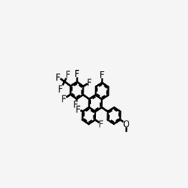 COc1ccc(-c2c3ccc(F)cc3c(-c3c(F)c(F)c(C(F)(F)F)c(F)c3F)c3c(F)ccc(F)c23)cc1